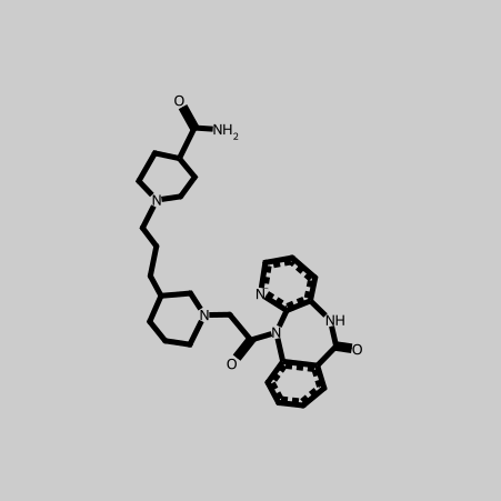 NC(=O)C1CCN(CCCC2CCCN(CC(=O)N3c4ccccc4C(=O)Nc4cccnc43)C2)CC1